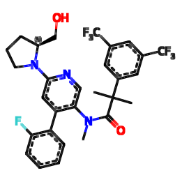 CN(C(=O)C(C)(C)c1cc(C(F)(F)F)cc(C(F)(F)F)c1)c1cnc(N2CCC[C@H]2CO)cc1-c1ccccc1F